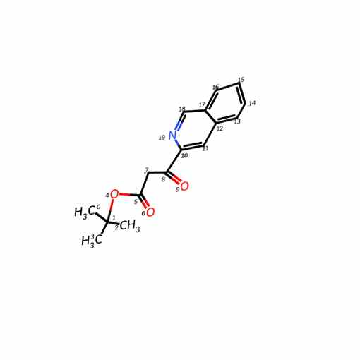 CC(C)(C)OC(=O)[CH]C(=O)c1cc2ccccc2cn1